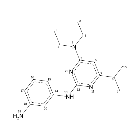 CCN(CC)c1cc(C(C)C)nc(Nc2cccc(N)c2)n1